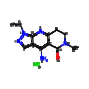 CCCCCn1ncc2c(N)c3c(nc21)CCN(CCC)C3=O.Cl